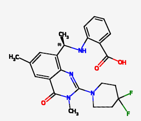 Cc1cc([C@@H](C)Nc2ccccc2C(=O)O)c2nc(N3CCC(F)(F)CC3)n(C)c(=O)c2c1